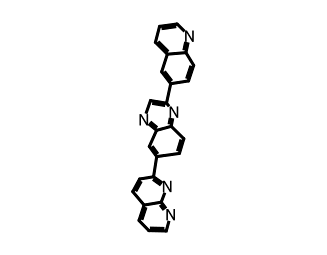 c1cnc2ccc(-c3cnc4cc(-c5ccc6cccnc6n5)ccc4n3)cc2c1